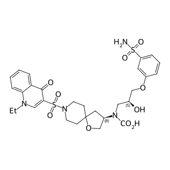 CCn1cc(S(=O)(=O)N2CCC3(CC2)C[C@@H](N(C[C@H](O)COc2cccc(S(N)(=O)=O)c2)C(=O)O)CO3)c(=O)c2ccccc21